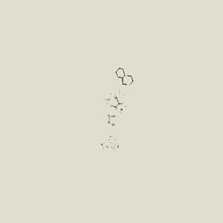 O=P(O)(O)CP(=O)(O)OC[C@H]1O[C@@H](n2cnc3c(NCc4cccc5ccccc45)nc(Cl)nc32)[C@@H](O)[C@H]1O